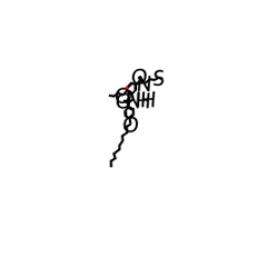 CCCCCCCCCCOc1ccc(C(=O)Nc2cc(C(=O)NCCSC)ccc2OCCC)cc1